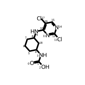 O=C(O)NC1CCCC(Nc2nc(Cl)ncc2Cl)C1